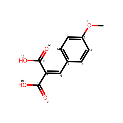 COc1ccc(C=C(C(=O)O)C(=O)O)cc1